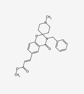 COC(=O)C=Cc1ccc2c(c1)C(=O)N(Cc1ccccc1)C1(CCN(C)CC1)O2